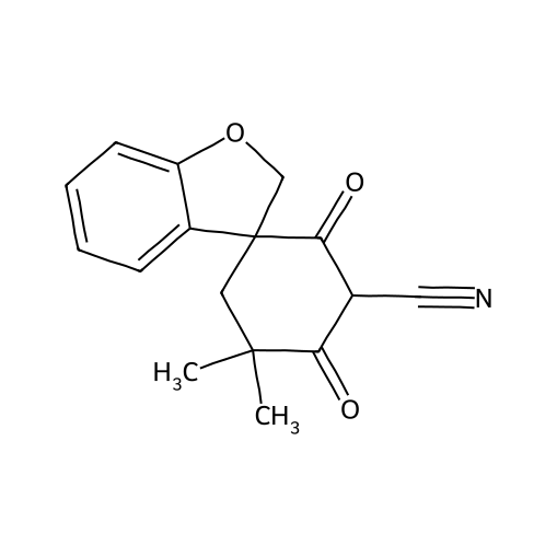 CC1(C)CC2(COc3ccccc32)C(=O)C(C#N)C1=O